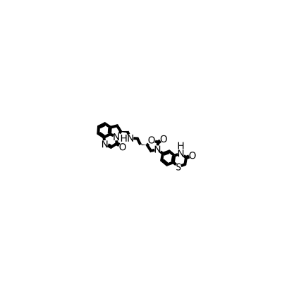 O=C1CSc2ccc(N3C[C@H](CCNC[C@@H]4Cc5cccc6ncc(=O)n4c56)OC3=O)cc2N1